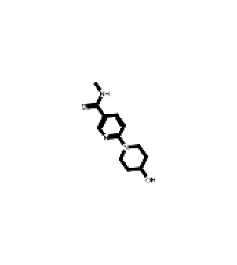 CNC(=O)c1ccc(N2CCC(O)CC2)nc1